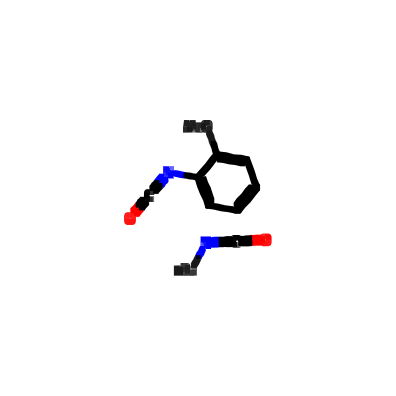 CCCCN=C=O.COc1ccccc1N=C=O